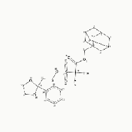 O=C(OCC12CC3CC(CC(C3)C1)C2)C(F)(F)S(=O)(=O)OCCC1(c2ccccc2)OCCO1